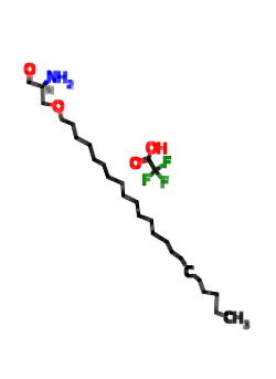 CCCCCCCCCCCCCCCCCCCCCCOC[C@H](N)C=O.O=C(O)C(F)(F)F